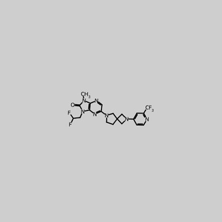 Cn1c(=O)n(CC(F)F)c2nc(N3CCC4(CN(c5ccnc(C(F)(F)F)c5)C4)C3)cnc21